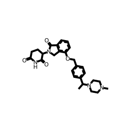 CC(c1ccc(COc2cccc3c2CN(C2CCC(=O)NC2=O)C3=O)cc1)N1CCN(C)CC1